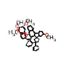 COc1ccc(/C=C\c2c3c(c4ccc(OC)cc4c2Oc2ccc(OC)cc2)-c2ccc(OC)cc2C32CCC(C3=CCCC=C3)(C3C=CC=CC3)C2)cc1